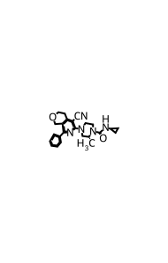 C[C@@H]1CN(c2nc(-c3ccccc3)c3c(c2C#N)CCOC3)CCN1C(=O)NC1CC1